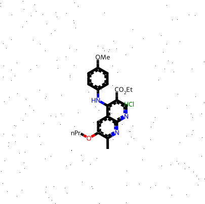 CCCOc1cc2c(Nc3ccc(OC)cc3)c(C(=O)OCC)cnc2nc1C.Cl